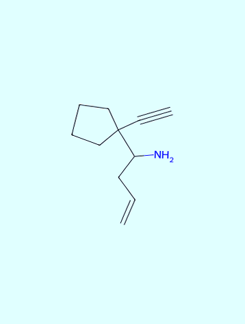 C#CC1(C(N)CC=C)CCCC1